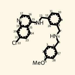 COc1ccc(CNCc2cccc(CNc3ccnc4cc(Cl)ccc34)c2)cc1